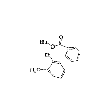 CC(C)(C)OC(=O)c1ccccc1.CCc1ccccc1C